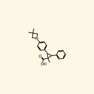 CC1(C)CN(c2ccc(C3C(c4ccccc4)C3(C)C(=O)O)cc2)C1